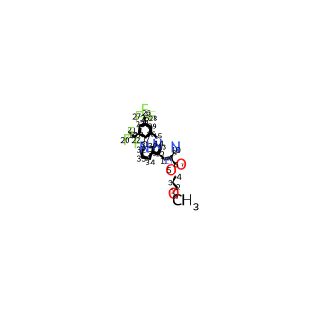 COCCCOC(=O)/C(C#N)=C/c1cn(Cc2cc(C(F)(F)F)cc(C(F)(F)F)c2)c2ncccc12